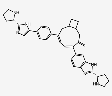 C=C1CC2CCC2C/C(c2ccc(-c3cnc([C@@H]4CCCN4)[nH]3)cc2)=C\C=C/1c1ccc2nc([C@@H]3CCCN3)[nH]c2c1